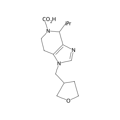 CC(C)C1c2ncn(CC3CCOC3)c2CCN1C(=O)O